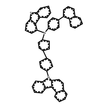 c1ccc2c(-c3ccc(N(c4ccc(-c5ccc(-n6c7ccccc7c7c8ccccc8ccc76)cc5)cc4)c4cccc5sc6ccccc6c45)cc3)cccc2c1